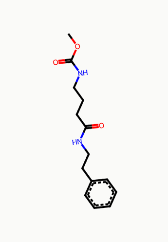 COC(=O)NCCCC(=O)NCCc1ccccc1